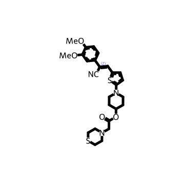 COc1ccc(/C(C#N)=C/c2ccc(N3CCC(OC(=O)CN4CCSCC4)CC3)s2)cc1OC